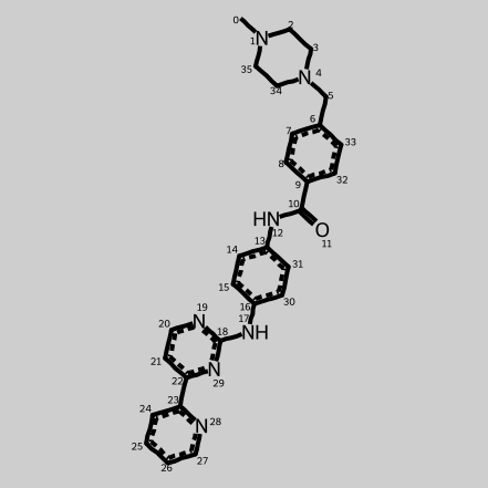 CN1CCN(Cc2ccc(C(=O)Nc3ccc(Nc4nccc(-c5ccccn5)n4)cc3)cc2)CC1